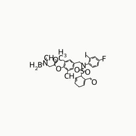 BN(C)CC(=O)Oc1c(C)cc(CN(c2ccc(F)cc2I)S(=O)(=O)C2CCCC=C2C=O)cc1C